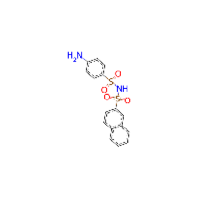 Nc1ccc(S(=O)(=O)NS(=O)(=O)c2ccc3ccccc3c2)cc1